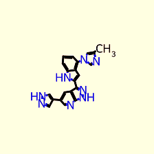 Cc1cn(-c2cccc3[nH]c(-c4n[nH]c5ncc(-c6cn[nH]c6)cc45)cc23)cn1